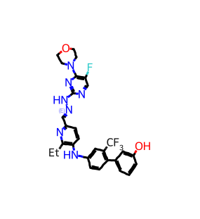 CCc1nc(/C=N/Nc2ncc(F)c(N3CCOCC3)n2)ccc1Nc1ccc(-c2cccc(O)c2)c(C(F)(F)F)c1